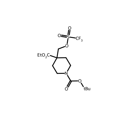 CCOC(=O)C1(COS(=O)(=O)C(F)(F)F)CCN(C(=O)OC(C)(C)C)CC1